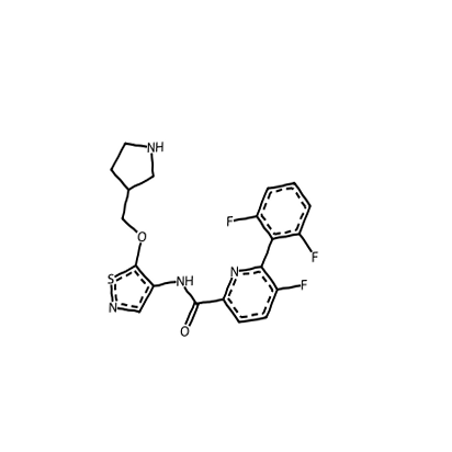 O=C(Nc1cnsc1OCC1CCNC1)c1ccc(F)c(-c2c(F)cccc2F)n1